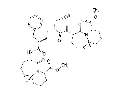 COC(=O)[C@@H]1CCC[C@@H]2SCC[C@H](NC(=O)[C@H](CC[C@H](CC#N)C(=O)N[C@H]3CCS[C@H]4CCC[C@@H](C(=O)OC)N4C3=O)Cc3ccccc3)C(=O)N21